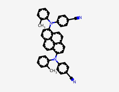 Cc1ccccc1N(c1ccc(C#N)cc1)c1ccc2ccc3c(N(c4ccc(C#N)cc4)c4ccccc4C)ccc4ccc1c2c43